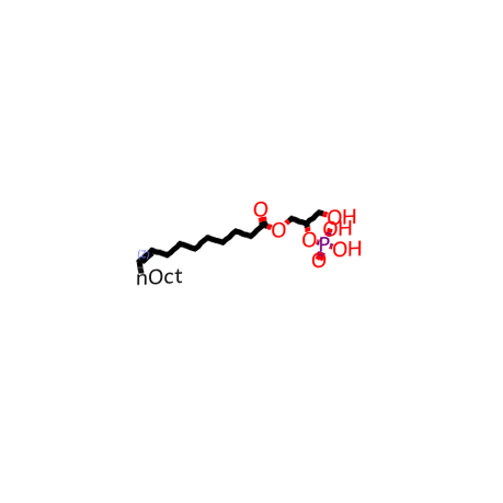 CCCCCCCC/C=C\CCCCCCCC(=O)OCC(CO)OP(=O)(O)O